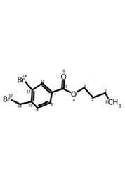 CCCCOC(=O)c1ccc(CBr)c(Br)c1